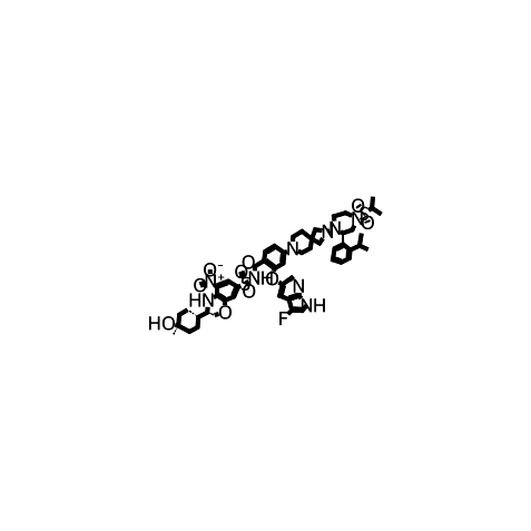 CC(C)c1ccccc1[C@@H]1CN(S(=O)(=O)C(C)C)CCN1N1CC2(CCN(c3ccc(C(=O)NS(=O)(=O)c4cc5c(c([N+](=O)[O-])c4)N[C@@H]([C@H]4CC[C@](C)(O)CC4)CO5)c(Oc4cnc5[nH]cc(F)c5c4)c3)CC2)C1